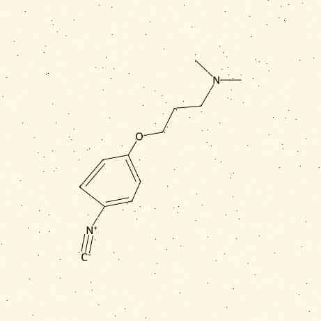 [C-]#[N+]c1ccc(OCCCN(C)C)cc1